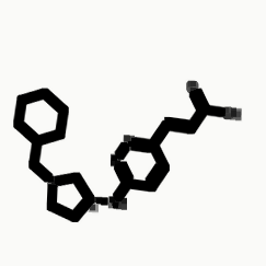 O=C(O)C=Cc1ccc(N[C@@H]2CCN(CC3CCCCC3)C2)nn1